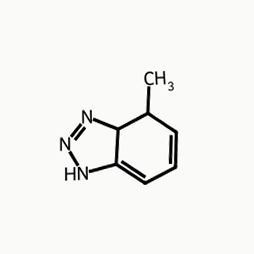 CC1C=CC=C2NN=NC21